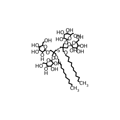 CCCCCCCCCCCCOCC(CO[C@@H]1OC(CO)[C@@H](O)C(O)C1O)(CO[C@@H]1OC(CO)[C@@H](O)C(O)C1O)CSCC(COCCCCCCCCCCCC)(CO[C@@H]1OC(CO)[C@@H](O)C(O)C1O)CO[C@@H]1OC(CO)[C@@H](O)C(O)C1O